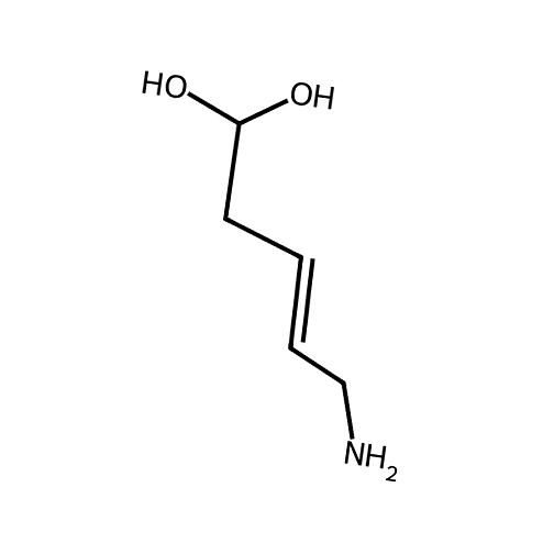 NCC=CCC(O)O